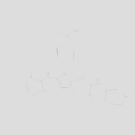 C=N/C(=N\c1c(C)nc(Nc2c(F)cc(F)cc2Cl)n1[C@H]1CC[C@@H](C(N)=O)CC1)N[C@H]1CCC[C@@H](O)C1